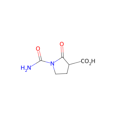 NC(=O)N1CCC(C(=O)O)C1=O